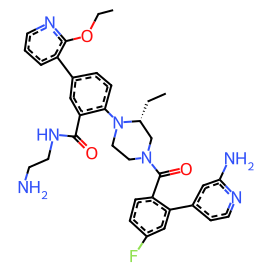 CCOc1ncccc1-c1ccc(N2CCN(C(=O)c3ccc(F)cc3-c3ccnc(N)c3)C[C@H]2CC)c(C(=O)NCCN)c1